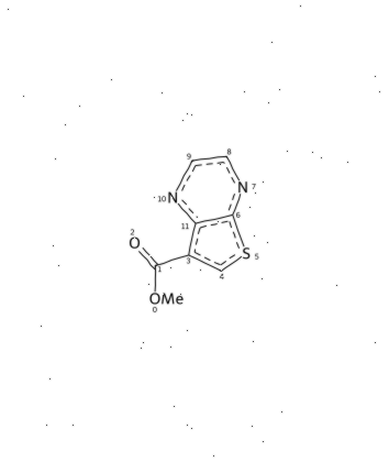 COC(=O)c1csc2nccnc12